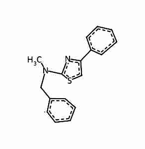 CN(Cc1[c]cccc1)c1nc(-c2ccccc2)cs1